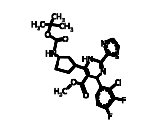 COC(=O)C1=C(C2CCC(NC(=O)OC(C)(C)C)C2)NC(c2nccs2)=NC1c1ccc(F)c(F)c1Cl